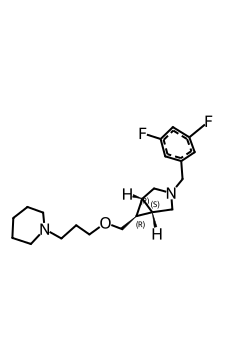 Fc1cc(F)cc(CN2C[C@@H]3[C@@H](COCCCN4CCCCC4)[C@@H]3C2)c1